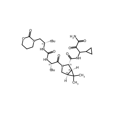 CC(C)(C)[C@H](NC(=O)N[C@H](CN1CCCOC1=O)C(C)(C)C)C(=O)N1C[C@H]2[C@@H]([C@H]1C(=O)NC(C(=O)C(N)=O)C1CC1)C2(C)C